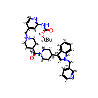 CC(C)(C)OC(=O)Nc1cc(CN2CCC(C(=O)N3CCC(c4cn(Cc5cccnc5)c5ccccc45)CC3)CC2)ccn1